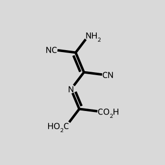 N#CC(N)=C(C#N)N=C(C(=O)O)C(=O)O